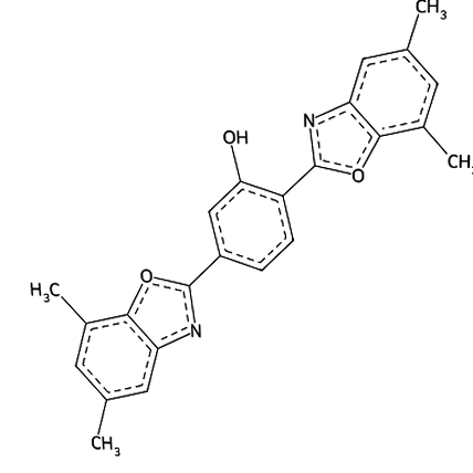 Cc1cc(C)c2oc(-c3ccc(-c4nc5cc(C)cc(C)c5o4)c(O)c3)nc2c1